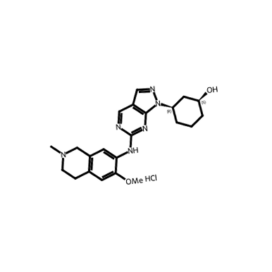 COc1cc2c(cc1Nc1ncc3cnn([C@@H]4CCC[C@H](O)C4)c3n1)CN(C)CC2.Cl